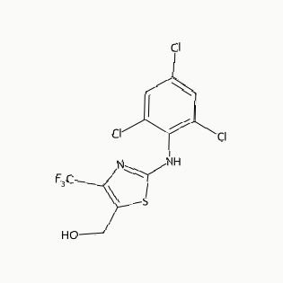 OCc1sc(Nc2c(Cl)cc(Cl)cc2Cl)nc1C(F)(F)F